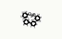 c1ccc(-c2ccccc2)cc1.c1ccc(OSOc2ccccc2)cc1